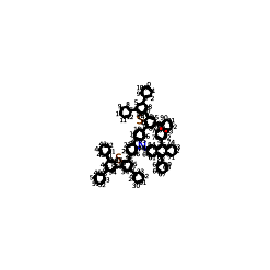 c1ccc(-c2cc(-c3ccccc3)c3sc4c(-c5ccc6c7ccc(-c8cc(-c9ccccc9)cc9c8sc8c(-c%10ccccc%10)cc(-c%10ccccc%10)cc89)cc7n(-c7ccc8c(-c9ccccc9)c9ccccc9c(-c9ccccc9)c8c7)c6c5)cc(-c5ccccc5)cc4c3c2)cc1